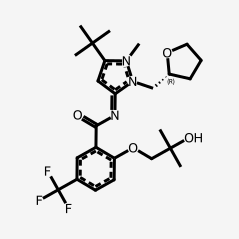 Cn1c(C(C)(C)C)cc(=NC(=O)c2cc(C(F)(F)F)ccc2OCC(C)(C)O)n1C[C@H]1CCCO1